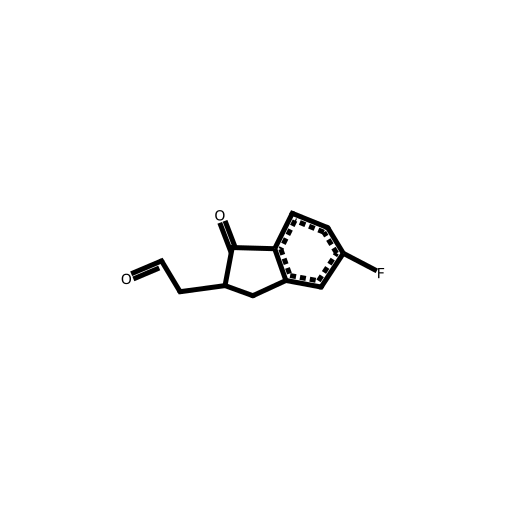 O=CCC1Cc2cc(F)ccc2C1=O